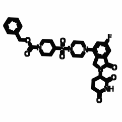 O=C1CCC(N2Cc3c(cc(F)cc3N3CCN(S(=O)(=O)C4CCN(C(=O)OCc5ccccc5)CC4)CC3)C2=O)C(=O)N1